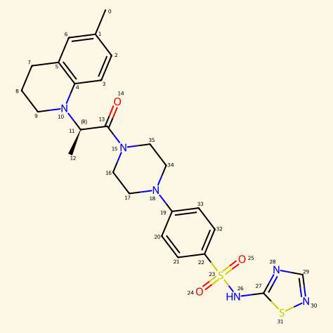 Cc1ccc2c(c1)CCCN2[C@H](C)C(=O)N1CCN(c2ccc(S(=O)(=O)Nc3ncns3)cc2)CC1